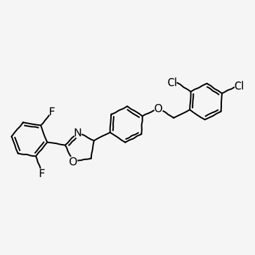 Fc1cccc(F)c1C1=NC(c2ccc(OCc3ccc(Cl)cc3Cl)cc2)CO1